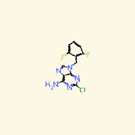 Nc1nc(Cl)nc2c1ncn2Cc1c(F)cccc1F